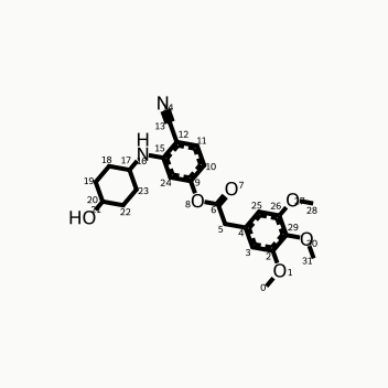 COc1cc(CC(=O)Oc2ccc(C#N)c(NC3CCC(O)CC3)c2)cc(OC)c1OC